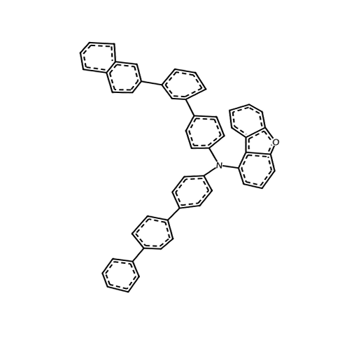 c1ccc(-c2ccc(-c3ccc(N(c4ccc(-c5cccc(-c6ccc7ccccc7c6)c5)cc4)c4cccc5oc6ccccc6c45)cc3)cc2)cc1